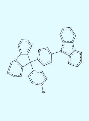 Brc1ccc(C2(c3ccc(-n4c5ccccc5c5ccccc54)cc3)c3ccccc3-c3ccccc32)cc1